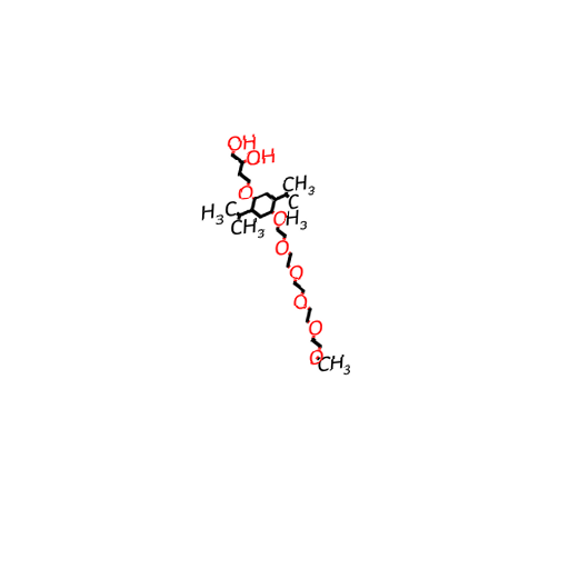 COCCOCCOCCOCCOCCOC1CC(C(C)C)C(OCCC(O)CO)CC1C(C)C